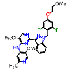 COCCOc1cc(F)c(Cn2nc(-c3ncc(OC)c(Nc4cc(C)ncc4OC)n3)c3ccccc32)c(F)c1